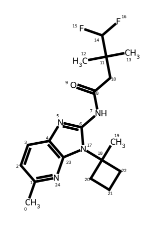 Cc1ccc2nc(NC(=O)CC(C)(C)C(F)F)n(C3(C)CCC3)c2n1